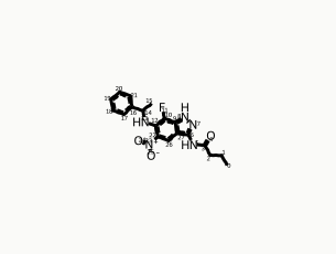 CCCC(=O)Nc1n[nH]c2c(F)c(NC(C)c3ccccc3)c([N+](=O)[O-])cc12